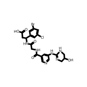 O=C(O)CC(NC(=O)CNC(=O)c1cncc(NC2=NCC(O)CN2)c1)c1cc(Cl)cc(Br)c1